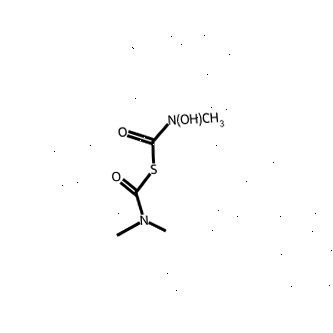 CN(C)C(=O)SC(=O)N(C)O